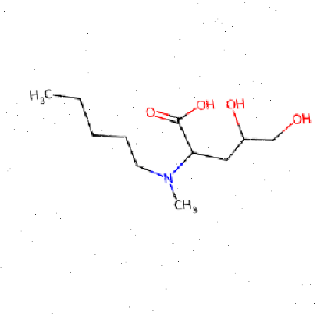 CCCCCN(C)C(CC(O)CO)C(=O)O